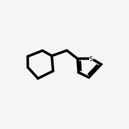 c1csc(C[C]2CCCCC2)c1